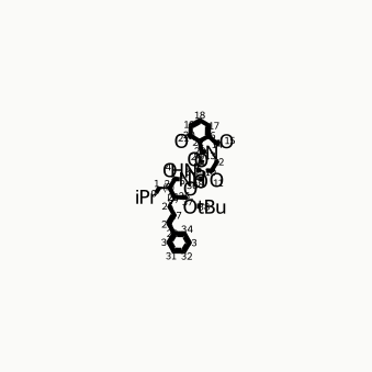 CC(C)C[C@@H](C(=O)NNS(=O)(=O)C(=O)CN1C(=O)C2=CC=CC(=O)C2C1=O)[C@H](CC=Cc1ccccc1)C(=O)OC(C)(C)C